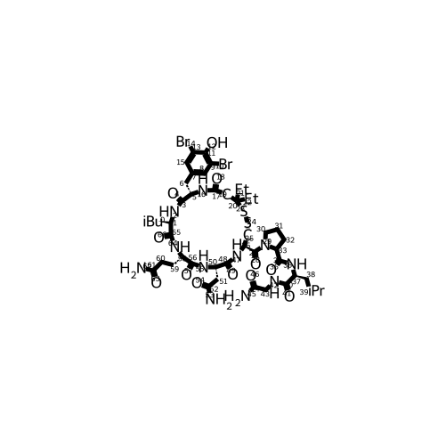 CC[C@H](C)C1NC(=O)[C@H](Cc2cc(Br)c(O)c(Br)c2)NC(=O)CC(CC)(CC)SSC[C@@H](C(=O)N2CCCC2C(=O)N[C@@H](CC(C)C)C(=O)NCC(N)=O)NC(=O)[C@H](CC(N)=O)NC(=O)[C@H](CCC(N)=O)NC1=O